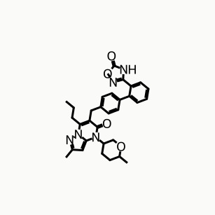 CCCc1c(Cc2ccc(-c3ccccc3-c3noc(=O)[nH]3)cc2)c(=O)n(C2CCC(C)OC2)c2cc(C)nn12